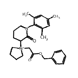 Cc1cc(C)c(N2CCCC([N+]3(CC(=O)OCc4ccccc4)CCCC3)C2=O)c(C)c1